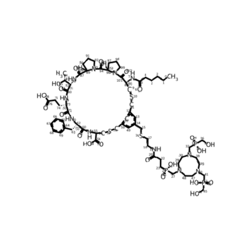 CCCCCC(=O)N[C@H]1CSCc2cc(CSCCNC(=O)CCP(=O)(O)CN3CCN(CP(=O)(O)CO)CCN(CP(=O)(O)CO)CC3)cc(c2)CSCC(C(=O)O)NC(=O)[C@H](Cc2ccccc2)NC(=O)[C@H](CCC(=O)O)NC(=O)[C@H]([C@@H](C)O)NC(=O)[C@@H]2CCCN2C(=O)[C@@H]2CCCN2C1=O